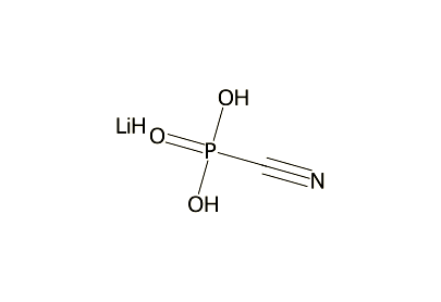 N#CP(=O)(O)O.[LiH]